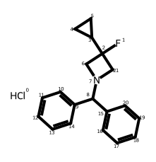 Cl.FC1(C2CC2)CN(C(c2ccccc2)c2ccccc2)C1